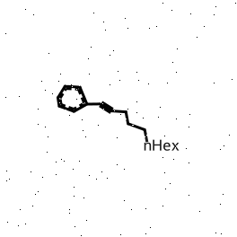 CCCCCCCCCC#Cc1ccccc1